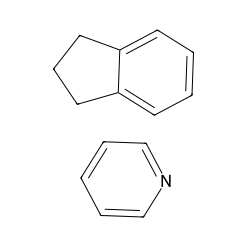 c1ccc2c(c1)CCC2.c1ccncc1